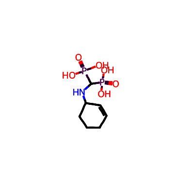 O=P(O)(O)C(NC1C=CCCC1)P(=O)(O)O